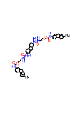 N#Cc1ccc2c(c1)Cc1cc(NC(=O)OCCCNC(=O)Nc3ccc4c(c3)Cc3cc(NC(=O)NCCCOC(=O)Nc5ccc6c(c5)CC5C7CC65C=CC7C#N)ccc3-4)ccc1-2